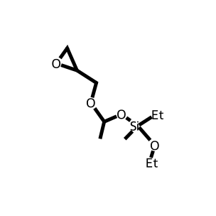 CCO[Si](C)(CC)OC(C)OCC1CO1